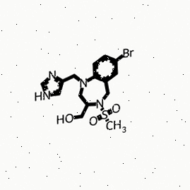 CS(=O)(=O)N1Cc2cc(Br)ccc2N(Cc2c[nH]cn2)CC1CO